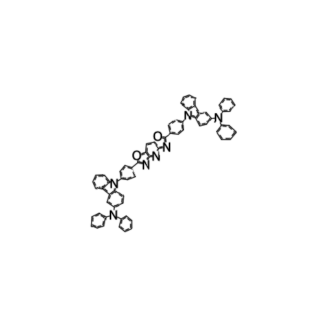 c1ccc(N(c2ccccc2)c2ccc3c(c2)c2ccccc2n3-c2ccc(-c3nc4nc5nc(-c6ccc(-n7c8ccccc8c8cc(N(c9ccccc9)c9ccccc9)ccc87)cc6)oc5cc4o3)cc2)cc1